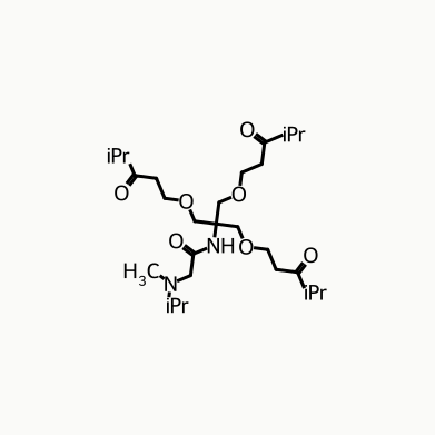 CC(C)C(=O)CCOCC(COCCC(=O)C(C)C)(COCCC(=O)C(C)C)NC(=O)CN(C)C(C)C